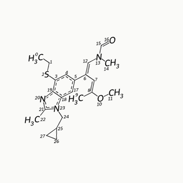 CCSc1cc(C(/C=C(\C)OC)=C/N(C)C=O)cc2c1nc(C)n2CC1CC1